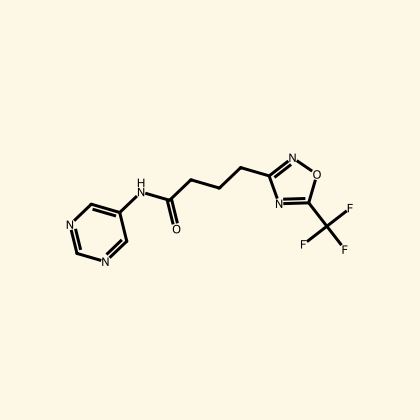 O=C(CCCc1noc(C(F)(F)F)n1)Nc1cncnc1